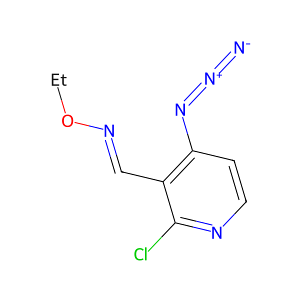 CCO/N=C/c1c(N=[N+]=[N-])ccnc1Cl